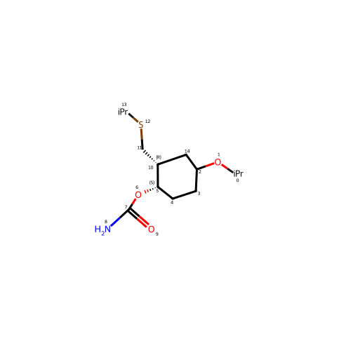 CC(C)OC1CC[C@H](OC(N)=O)[C@H](CSC(C)C)C1